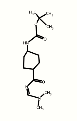 CN(C)/C=N\C(=O)C1CCC(NC(=O)OC(C)(C)C)CC1